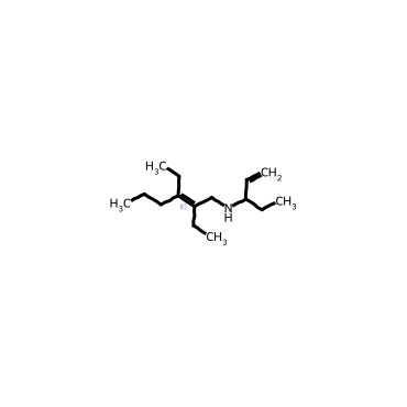 C=CC(CC)NC/C(CC)=C(\CC)CCC